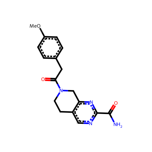 COc1ccc(CC(=O)N2CCc3[c]nc(C(N)=O)nc3C2)cc1